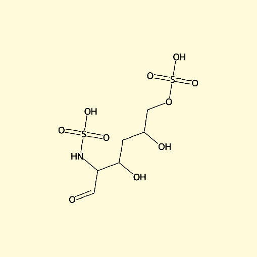 O=CC(NS(=O)(=O)O)C(O)CC(O)COS(=O)(=O)O